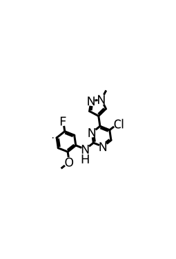 COc1c[c]c(F)cc1Nc1ncc(Cl)c(-c2cnn(C)c2)n1